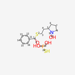 O=C(SCCC1CCCN1O)c1ccccc1.OP(O)S